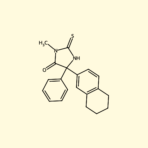 CN1C(=O)C(c2ccccc2)(c2ccc3c(c2)CCCC3)NC1=S